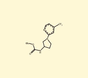 CC(C)(C)OC(=O)NC1CCN(c2cc(C(F)(F)F)ccn2)C1